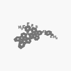 C=Cc1ccc(Oc2ccc(C3(c4ccc(F)c(F)c4)c4ccccc4-c4ccc(N(c5ccc(F)c(C)c5)c5ccc6c(c5)C5(c7ccccc7-c7ccc(C)cc75)c5ccccc5-6)cc43)cc2)cc1